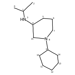 CC(C)NC1CCCN(C2CCCCC2)C1